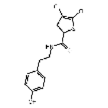 O=C(NCCc1ccc(O)cc1)C1CC(Cl)=C(Cl)S1